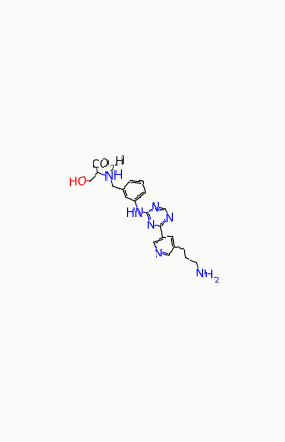 NCCCc1cncc(-c2ncnc(Nc3cccc(CNC(CO)C(=O)O)c3)n2)c1